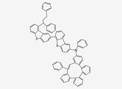 c1ccc(CCC(c2ccccc2)c2cccc3sc4ccc(-c5cccc6c5sc5ccc(N(c7ccccc7)c7ccc8c(c7)cc(-c7ccccc7)c7ccccc7c7ccccc7c7ccccc87)cc56)cc4c23)cc1